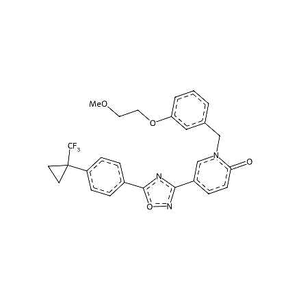 COCCOc1cccc(Cn2cc(-c3noc(-c4ccc(C5(C(F)(F)F)CC5)cc4)n3)ccc2=O)c1